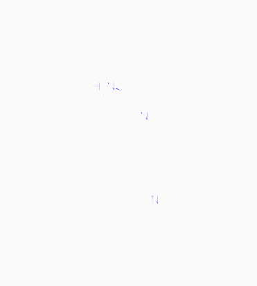 N#Cc1ccc(N2CCC[C@H](N)C2)cc1